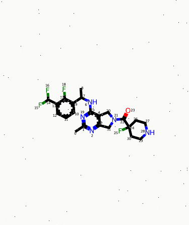 Cc1nc2c(c(NC(C)c3cccc(C(F)F)c3F)n1)CN(C(=O)C1(F)CCNCC1)C2